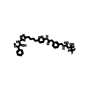 COC(c1ccccc1)C(O)Nc1nnc(CCCCc2ccc(NC(=O)Cc3cccc(CNC(O)CC(C)(O)C(F)(F)F)c3)nn2)s1